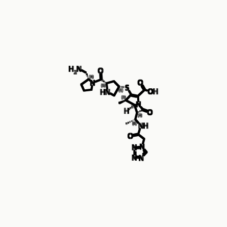 C[C@@H](NC(=O)Cn1cnnn1)[C@H]1C(=O)N2C(C(=O)O)=C(S[C@@H]3CN[C@H](C(=O)N4CCC[C@@H]4CN)C3)[C@H](C)[C@H]12